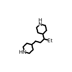 [CH2]CC(CCC1CCNCC1)C1CCNCC1